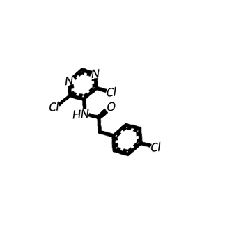 O=C(Cc1ccc(Cl)cc1)Nc1c(Cl)ncnc1Cl